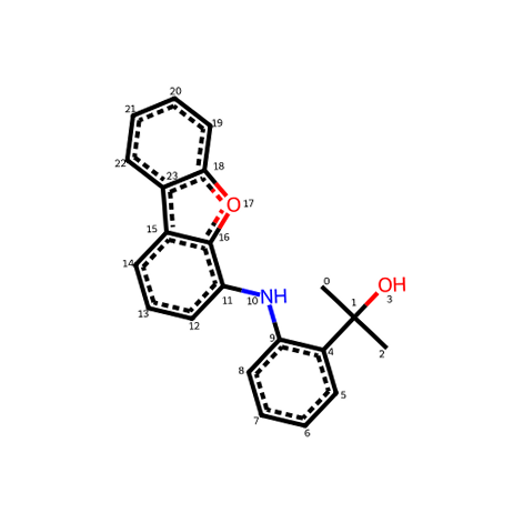 CC(C)(O)c1ccccc1Nc1cccc2c1oc1ccccc12